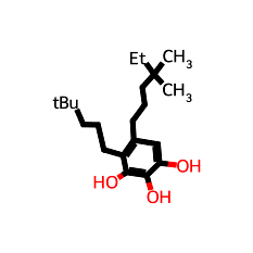 CCC(C)(C)CCCc1cc(O)c(O)c(O)c1CCCC(C)(C)C